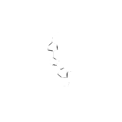 CC(C)Oc1ccc(-c2noc(-c3ccc(CCl)cc3)n2)cc1Cl